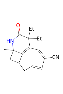 CCC1(CC)C(=O)NC2(C)CC3C/C=C/C(C#N)=C\C1=C32